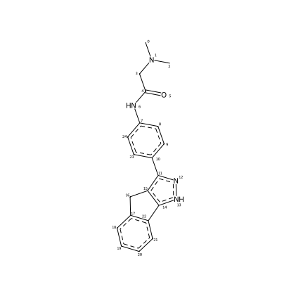 CN(C)CC(=O)Nc1ccc(-c2n[nH]c3c2Cc2ccccc2-3)cc1